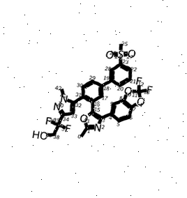 Cc1nc(-c2ccc3c(c2)OC(F)(F)O3)c(-c2cc(-c3cccc(S(C)(=O)=O)c3)ccc2-c2cc(C(F)(F)CO)nn2C)o1